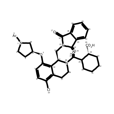 CC(=O)N1CC[C@H](Oc2ccc(Cl)c3c2[C@@H](CN2C(=O)c4ccccc4C2=O)N(C(=O)C2CCCC[C@H]2C(=O)O)CC3)C1